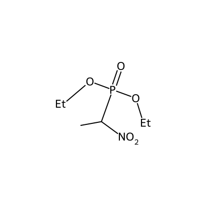 CCOP(=O)(OCC)C(C)[N+](=O)[O-]